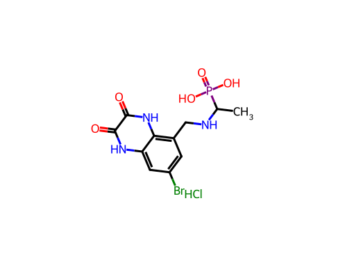 CC(NCc1cc(Br)cc2[nH]c(=O)c(=O)[nH]c12)P(=O)(O)O.Cl